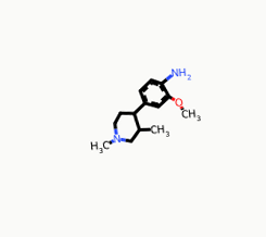 COc1cc(C2CCN(C)CC2C)ccc1N